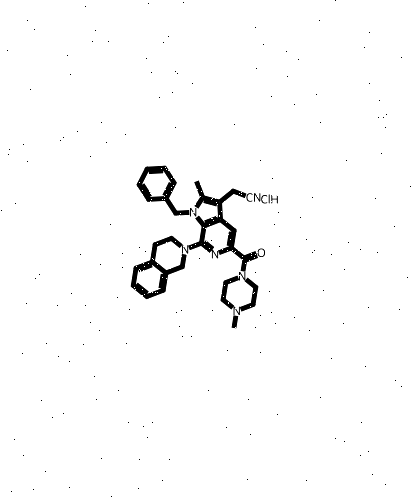 Cc1c(CC#N)c2cc(C(=O)N3CCN(C)CC3)nc(N3CCc4ccccc4C3)c2n1Cc1ccccc1.Cl